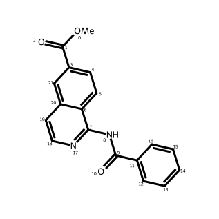 COC(=O)c1ccc2c(NC(=O)c3ccccc3)nccc2c1